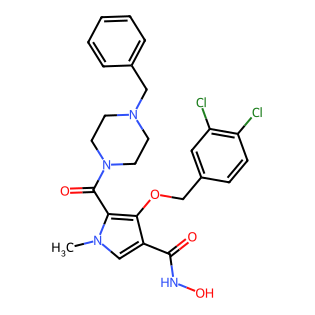 Cn1cc(C(=O)NO)c(OCc2ccc(Cl)c(Cl)c2)c1C(=O)N1CCN(Cc2ccccc2)CC1